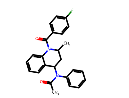 CC(=O)N(c1ccccc1)C1CC(C)N(C(=O)c2ccc(F)cc2)c2ccccc21